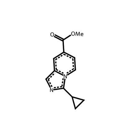 COC(=O)c1ccn2c(C3CC3)ncc2c1